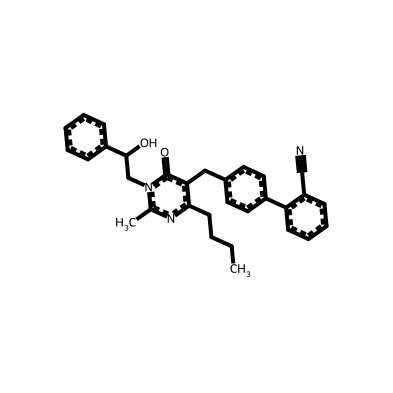 CCCCc1nc(C)n(CC(O)c2ccccc2)c(=O)c1Cc1ccc(-c2ccccc2C#N)cc1